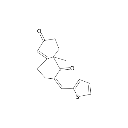 CC12CCC(=O)C=C1CC/C(=C/c1cccs1)C2=O